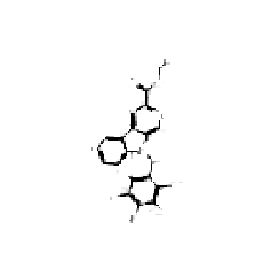 CCOC(=O)c1cc2c3ccccc3n(Cc3c(F)c(F)c(F)c(F)c3F)c2cn1